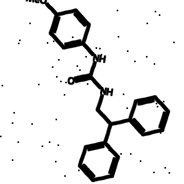 COc1ccc(NC(=O)NCC(c2ccccc2)c2ccccc2)cc1